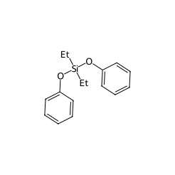 CC[Si](CC)(Oc1ccccc1)Oc1ccccc1